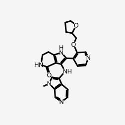 Cn1cc(Nc2c(-c3ccncc3OCC3CCCO3)[nH]c3c2C(=O)NCC3)c2ccncc21